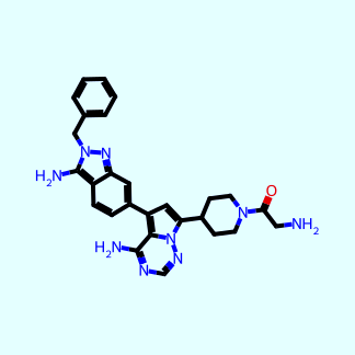 NCC(=O)N1CCC(c2cc(-c3ccc4c(N)n(Cc5ccccc5)nc4c3)c3c(N)ncnn23)CC1